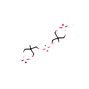 C=P1(C)OCC(CC)(COP(C)(=O)OCC2(CC)COP(C)(=O)OC2)CO1